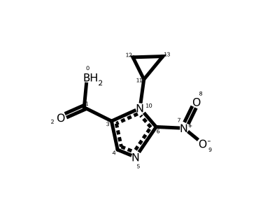 BC(=O)c1cnc([N+](=O)[O-])n1C1CC1